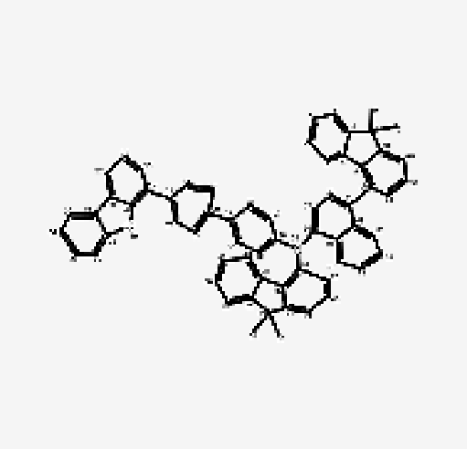 CC1(C)c2ccccc2-c2c(-c3ccc(N(c4ccc(-c5ccc(-c6cccc7c6oc6ccccc67)cc5)cc4)c4cccc5c4-c4ccccc4C5(C)C)c4ccccc34)cccc21